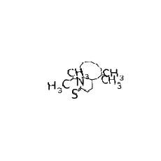 CC(C)N1C(=S)CCC2CC(C)(C)CCCCCCC21